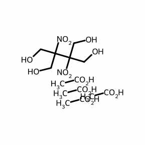 CC(=O)O.CC(=O)O.CC(=O)O.CC(=O)O.O=[N+]([O-])C(CO)(CO)C(CO)(CO)[N+](=O)[O-]